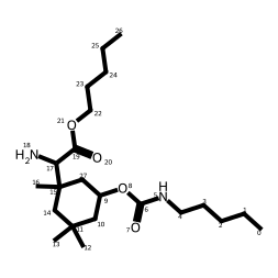 CCCCCNC(=O)OC1CC(C)(C)CC(C)(C(N)C(=O)OCCCCC)C1